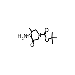 CC1CN(C(=O)OC(C)(C)C)CC(=O)N1N